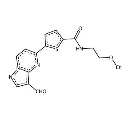 CCOCCNC(=O)c1ccc(-c2ccn3ncc(C=O)c3n2)s1